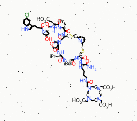 CC[C@H](C)[C@@H]1NC(=O)[C@H](CC(C)C)NC(=O)C2(CCOCC2)NC(=O)[C@@H](NC(=O)[C@@H](CC(C)C)NC(=O)[C@H](CCC(=O)O)NC(=O)[C@@H]2C[C@@H](O)CN2C(=O)CCc2c[nH]c3ccc(Cl)cc23)CSCc2cccc(n2)CSC[C@@H](C(=O)N[C@H](CCCCNC(=O)CN2CCN(CC(=O)O)CCN(CC(=O)O)CCN(CC(=O)O)CC2)C(N)=O)NC1=O